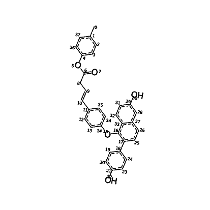 Cc1ccc(OC(=O)CC=Cc2ccc(Oc3c(-c4ccc(O)cc4)ccc4cc(O)ccc34)cc2)cc1